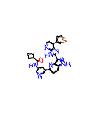 O=C(Nc1cncc(-c2ccc3[nH]nc(-c4nc5c(-c6ccsc6)ccnc5[nH]4)c3n2)c1)C1CCC1